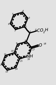 O=C(O)C(c1ccccc1)c1cc2ccccc2[nH]c1=O